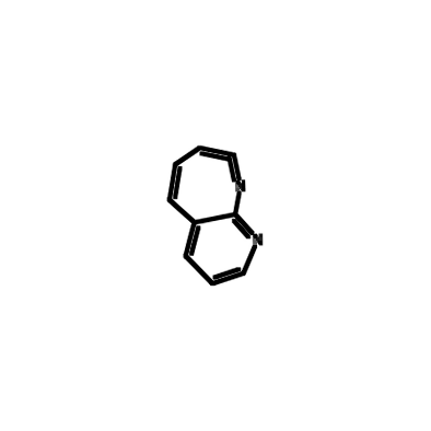 C1=CC=Cc2cccnc2N=1